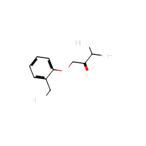 CCc1ccccc1OCC(=O)C(C)C